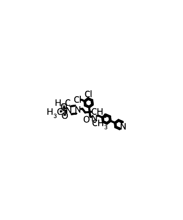 CC1CN(CCC(C)(C(=O)N(C)Cc2ccc(-c3ccncc3)cc2)c2ccc(Cl)c(Cl)c2)CCN1S(C)(=O)=O